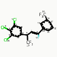 FC(=CC(c1cc(Cl)c(Cl)c(Cl)c1)C(F)(F)F)c1cc[c]c(C(F)(F)F)c1